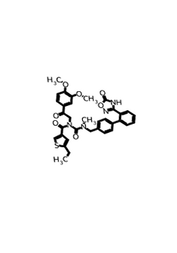 CCc1cc(C(=O)N(CC(=O)c2ccc(OC)c(OC)c2)C(=O)N(C)Cc2ccc(-c3ccccc3-c3noc(=O)[nH]3)cc2)cs1